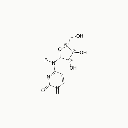 O=c1nc(N(F)C2O[C@H](CO)[C@@H](O)[C@@H]2O)cc[nH]1